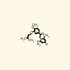 COc1ccc(C(=O)Cn2c(C)cc(=O)cc2C)cc1OCC=C(C)C